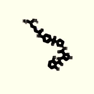 CN(C)C/C=C/C(=O)Nc1ccc(S(=O)(=O)N2CC[C@H](NC(=O)c3n[nH]cc3NC(=O)c3c(Cl)cccc3Cl)C2)cc1